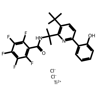 CC(C)(C)c1ccc(-c2ccccc2O)nc1C(C)(C)NC(=O)c1c(F)c(F)c(F)c(F)c1F.[Cl-].[Cl-].[Ti+2]